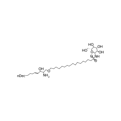 CCCCCCCCCCCCCC=CC(O)C(N)COCCCCCCCCCCCCCCCCS(=O)(=O)NC1O[C@H](CO)[C@@H](O)[C@H](O)[C@H]1O